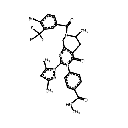 CNC(=O)c1ccc(-n2c(-n3nc(C)cc3C)nc3c(c2=O)CC(C)N(C(=O)c2ccc(Br)c(C(F)(F)F)c2)C3)cc1